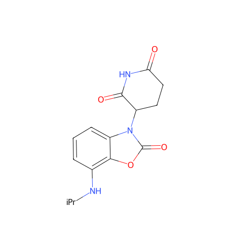 CC(C)Nc1cccc2c1oc(=O)n2C1CCC(=O)NC1=O